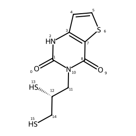 O=c1[nH]c2ccsc2c(=O)n1C[C@@H](S)CS